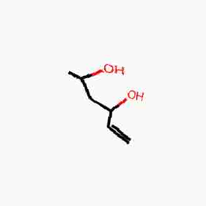 C=CC(O)C[C](C)O